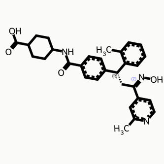 Cc1cc(/C(C[C@H](c2ccc(C(=O)NC3CCC(C(=O)O)CC3)cc2)c2ccccc2C)=N\O)ccn1